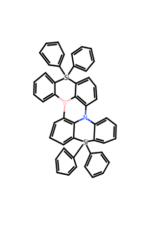 c1ccc([Si]2(c3ccccc3)c3ccccc3B3c4cccc5c4N(c4ccccc4[Si]5(c4ccccc4)c4ccccc4)c4cccc2c43)cc1